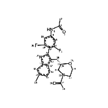 CC(=O)Nc1cc(F)c(-c2nc3cc(C)ccn3c2C[C@H]2CN(C(C)=O)CCO2)c(F)c1